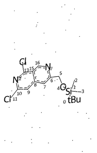 CC(C)(C)[Si](C)(C)OCc1cc2cc(Cl)nc(Cl)c2cn1